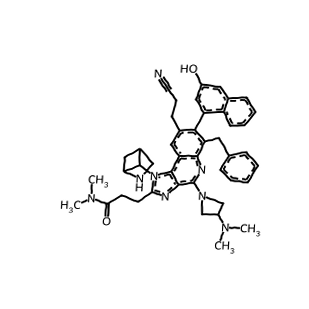 CN(C)C(=O)CCc1nc2c(N3CC(N(C)C)C3)nc3c(Cc4ccccc4)c(-c4cc(O)cc5ccccc45)c(CCC#N)cc3c2n1C1C2CNC1C2